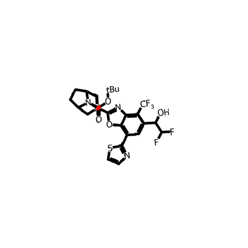 CC(C)(C)OC(=O)N1C2CCC1CN(c1nc3c(C(F)(F)F)c(C(O)C(F)F)cc(-c4nccs4)c3o1)C2